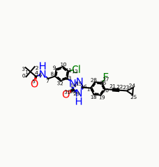 CC(C)(C)C(=O)NCc1ccc(Cl)c(-n2nc(-c3ccc(C#CC4CC4)c(F)c3)[nH]c2=O)c1